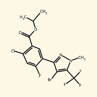 CC(C)OC(=O)c1cc(-c2nn(C)c(C(F)(F)F)c2Br)c(F)cc1Cl